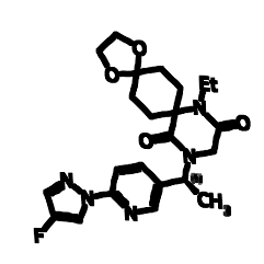 CCN1C(=O)CN([C@@H](C)c2ccc(-n3cc(F)cn3)nc2)C(=O)C12CCC1(CC2)OCCO1